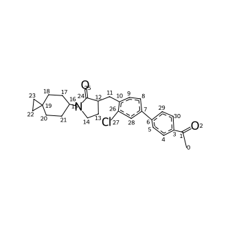 CC(=O)c1ccc(-c2ccc(CC3CCN(C4CCC5(CC4)CC5)C3=O)c(Cl)c2)cc1